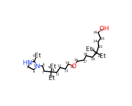 CCC1NCCN1CCC(CC)(CC)CCCCOCCCCC(CC)(CC)CCCCO